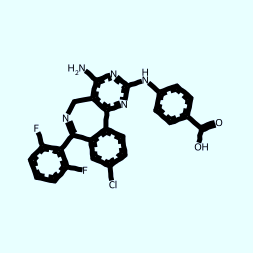 Nc1nc(Nc2ccc(C(=O)O)cc2)nc2c1CN=C(c1c(F)cccc1F)c1cc(Cl)ccc1-2